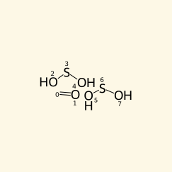 C=O.OSO.OSO